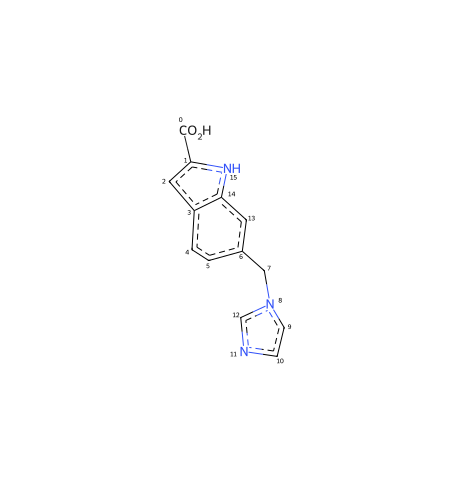 O=C(O)c1cc2ccc(Cn3ccnc3)cc2[nH]1